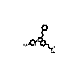 COC(=O)CCc1ccc2c(c1)c(CCc1ccccc1)cn2-c1ccc(N)cn1